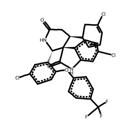 O=C1C[C@@H](C2C=CC=C(Cl)C2)[C@]2(C(=O)Nc3cc(Cl)ccc32)[C@H](c2cc(Cl)ccc2Oc2ccc(C(F)(F)F)cc2)N1